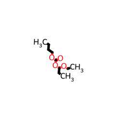 CCCCOC(=O)OC(CC)OCC